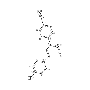 N#Cc1ccc(C(C=Cc2ccc(Cl)cc2)=S=O)cc1